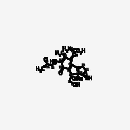 COC12C(CO)C3=C(C(=O)C(C)=C(NCC(C)Cl)C3=O)N1CC1NC12.NC(=O)O